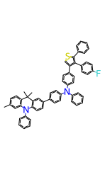 Cc1ccc2c(c1)N(c1ccccc1)c1ccc(-c3ccc(N(c4ccccc4)c4ccc(-c5csc(-c6ccccc6)c5-c5ccc(F)cc5)cc4)cc3)cc1C2(C)C